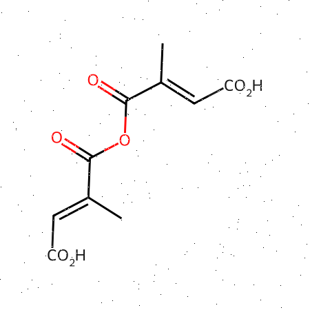 C/C(=C\C(=O)O)C(=O)OC(=O)/C(C)=C/C(=O)O